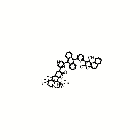 Cc1c(-c2cccc(-c3c4ccccc4c(-c4cncc(-c5cc6cc7c8c(c6oc5=O)C(C)(C)CCN8CCC7(C)C)n4)c4ccccc34)n2)c(=O)oc2ccc3ccccc3c12